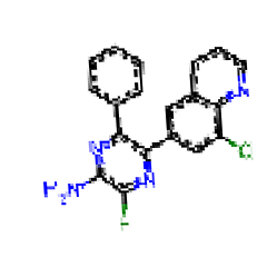 Nc1nc(-c2ccccc2)c(-c2cc(Cl)c3ncccc3c2)nc1F